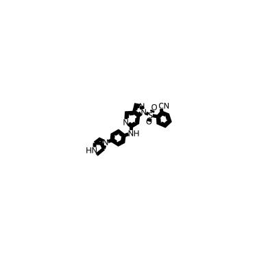 N#Cc1ccccc1S(=O)(=O)n1ncc2cnc(Nc3ccc(N4CC5CC4CN5)cc3)cc21